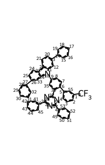 FC(F)(F)c1cccc(-c2ccc(-n3c4cc(-c5ccccc5)ccc4c4ccc(-c5ccccc5)cc43)cc2-c2nc(-c3ccccc3)nc(-c3ccccc3)n2)c1